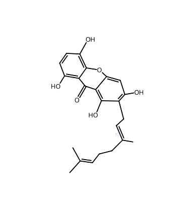 CC(C)=CCC/C(C)=C/Cc1c(O)cc2oc3c(O)ccc(O)c3c(=O)c2c1O